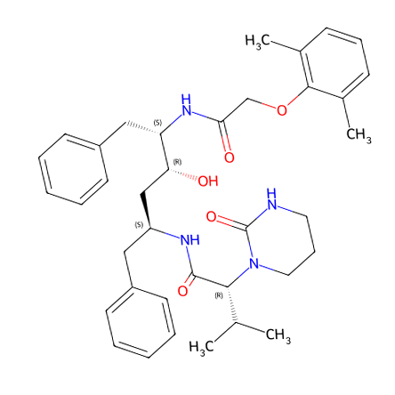 Cc1cccc(C)c1OCC(=O)N[C@@H](Cc1ccccc1)[C@H](O)C[C@H](Cc1ccccc1)NC(=O)[C@@H](C(C)C)N1CCCNC1=O